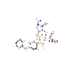 CCCCN1CC(=O)N(CC(O)(CS(=O)(=O)c2ccc(Oc3ccccc3)cc2)C(=O)NO)C1=O